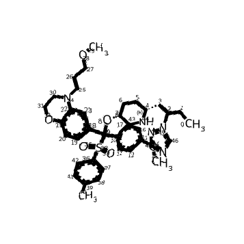 CCC(C[C@H]1CC[C@@H](OC(c2ccc(OC)cc2)(c2ccc3c(c2)N(CCCOC)CCO3)S(=O)(=O)c2ccc(C)cc2)CN1)n1cncn1